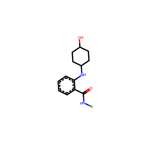 O=C(NF)c1ccccc1NC1CCC(O)CC1